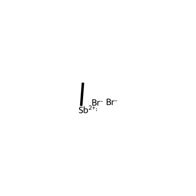 [Br-].[Br-].[CH3][Sb+2]